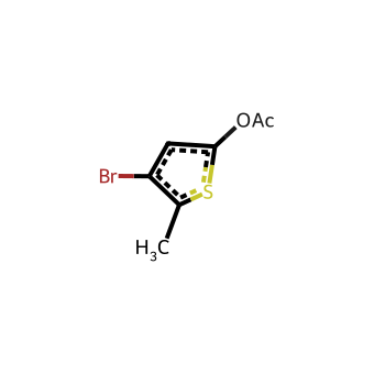 CC(=O)Oc1cc(Br)c(C)s1